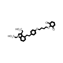 O=C(O)Cc1cn(CC(=O)O)c2cccc(CCc3ccc(OCCCCOc4c(Cl)cccc4Cl)cc3)c12